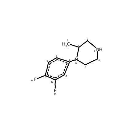 CC1CNCCN1c1ccc(F)c(F)c1